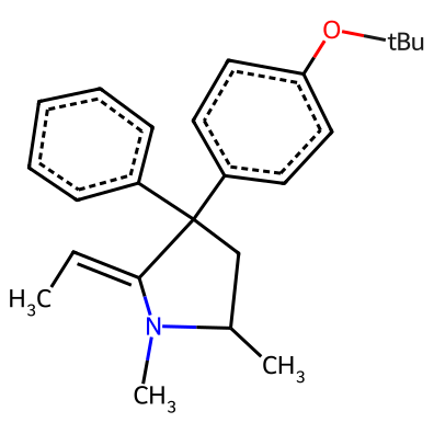 C/C=C1\N(C)C(C)CC1(c1ccccc1)c1ccc(OC(C)(C)C)cc1